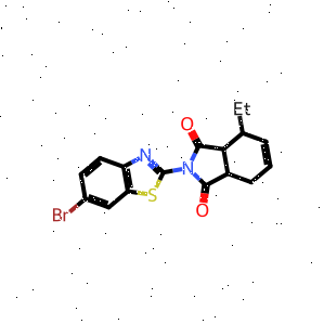 CCC1C=CCC2C(=O)N(c3nc4ccc(Br)cc4s3)C(=O)C12